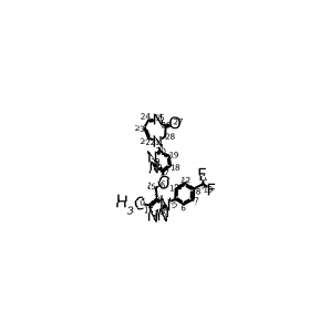 Cc1nnn(-c2ccc(C(F)F)cc2)c1COc1ccc(N2C=CC=NC(=O)C2)nn1